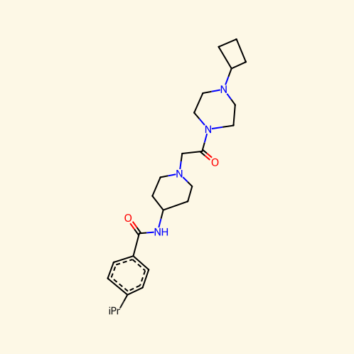 CC(C)c1ccc(C(=O)NC2CCN(CC(=O)N3CCN(C4CCC4)CC3)CC2)cc1